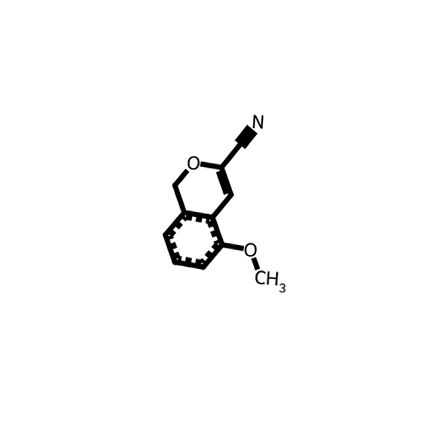 COc1cccc2c1C=C(C#N)OC2